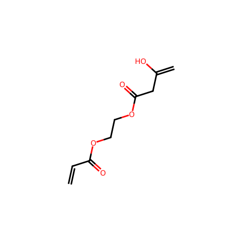 C=CC(=O)OCCOC(=O)CC(=C)O